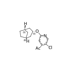 CC(=O)c1cc(O[C@@H]2C[C@@H]3CC[C@@H](C3)C2)ncc1Cl